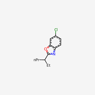 CCCC(CC)c1nc2ccc(Cl)cc2o1